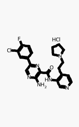 Cl.Nc1ncc(-c2ccc(F)c(Cl)c2)nc1C(=O)Nc1cnccc1CCN1CCCC1